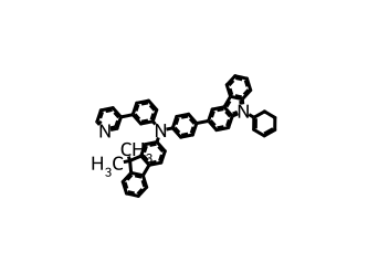 CC1(C)c2ccccc2-c2ccc(N(c3ccc(-c4ccc5c(c4)c4ccccc4n5C4=CC=CCC4)cc3)c3cccc(-c4cccnc4)c3)cc21